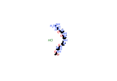 C=C(Br)C(=O)Nc1cc(C(=O)Nc2cc(CNc3cc(C(=O)Nc4cc(C(=O)NCCNC(=N)N)n(C)c4)n(C)c3)n(C)c2)n(C)c1.Cl